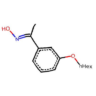 CCCCCCOc1cccc(C(C)=NO)c1